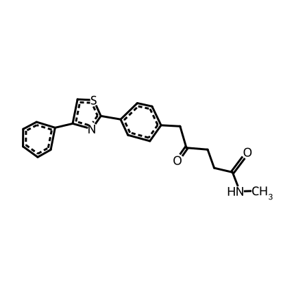 CNC(=O)CCC(=O)Cc1ccc(-c2nc(-c3ccccc3)cs2)cc1